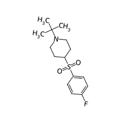 CC(C)(C)N1CCC(S(=O)(=O)c2ccc(F)cc2)CC1